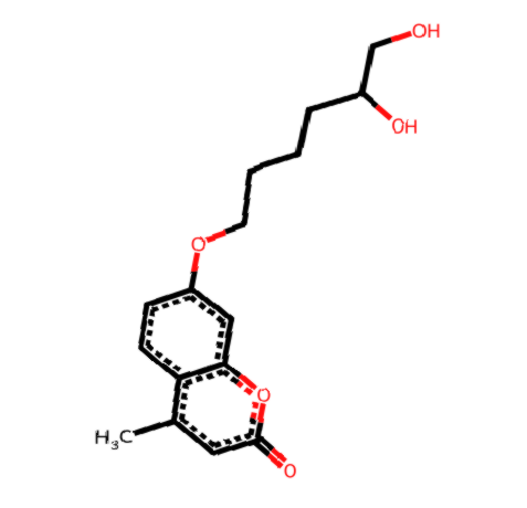 Cc1cc(=O)oc2cc(OCCCCC(O)CO)ccc12